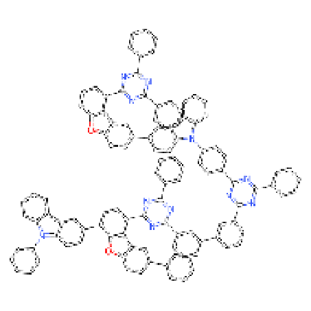 c1ccc(-c2ccc3oc4c(-c5ccc6c(c5)c5ccccc5n6-c5ccccc5)ccc(-c5nc(-c6ccccc6)nc(-c6cccc(-c7cccc(-c8nc(-c9ccccc9)nc(-c9ccc(-n%10c%11ccccc%11c%11cc(-c%12ccc%13oc%14cccc(-c%15nc(-c%16ccccc%16)nc(-c%16ccccc%16)n%15)c%14c%13c%12)ccc%11%10)cc9)n8)c7)c6)n5)c4c3c2)cc1